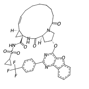 O=C1N[C@]2(C(=O)NS(=O)(=O)C3CC3)C[C@H]2/C=C\CCCCCCC(=O)N2C[C@H](Oc3nc(-c4ccc(C(F)(F)F)cc4)nc4c3oc3ccccc34)C[C@@H]12